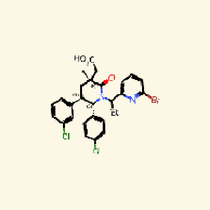 CCC(c1cccc(Br)n1)N1C(=O)[C@@](C)(CC(=O)O)C[C@H](c2cccc(Cl)c2)[C@H]1c1ccc(Cl)cc1